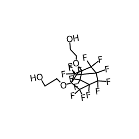 OCCOC12C(F)(F)C3(F)C(F)(F)C(F)(C1(F)F)C(F)(F)C(OCCO)(C3(F)F)C2(F)F